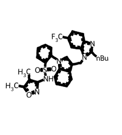 CCCCc1nc2ccc(C(F)(F)F)cc2n1Cc1cn(-c2ccccc2S(=O)(=O)Nc2noc(C)c2C)c2ccccc12